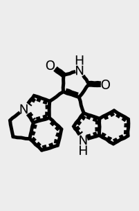 O=C1NC(=O)C(c2cn3c4c(cccc24)CC3)=C1c1c[nH]c2ccccc12